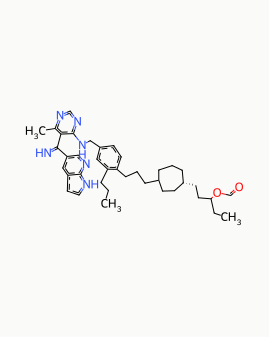 CCCc1cc(CNc2ncnc(C)c2C(=N)c2cnc3[nH]ccc3c2)ccc1CCCC1CCC[C@H](CCC(CC)OC=O)CC1